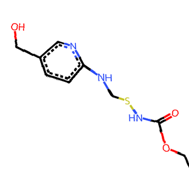 CCOC(=O)NSCNc1ccc(CO)cn1